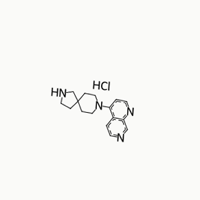 Cl.c1cc2c(N3CCC4(CCNC4)CC3)ccnc2cn1